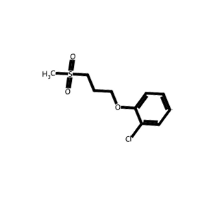 CS(=O)(=O)CCCOc1cc[c]cc1Cl